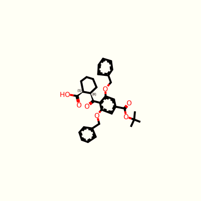 CC(C)(C)OC(=O)c1cc(OCc2ccccc2)c(C(=O)[C@@H]2CCCC[C@@H]2C(=O)O)c(OCc2ccccc2)c1